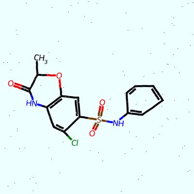 CC1Oc2cc(S(=O)(=O)Nc3ccccc3)c(Cl)cc2NC1=O